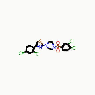 O=S(=O)(c1ccc(Cl)c(Cl)c1)N1CCN(c2nc(-c3ccc(Cl)cc3Cl)cs2)CC1